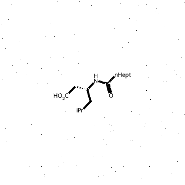 CCCCCCCC(=O)N[C@@H](CC(=O)O)CC(C)C